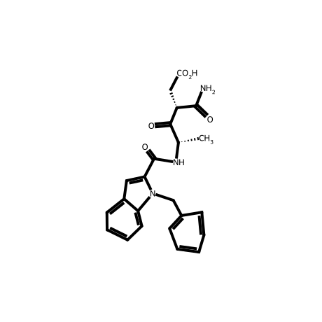 C[C@H](NC(=O)c1cc2ccccc2n1Cc1ccccc1)C(=O)[C@H](CC(=O)O)C(N)=O